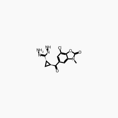 Cn1c(=O)oc2c(Cl)cc(C(=O)[C@H]3C[C@@H]3/C(N=N)=N/N)cc21